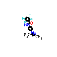 O=C(Nc1ccc(-n2nc(C(F)(F)F)cc2C(F)(F)F)cc1)c1c(F)c(F)cc(F)c1F